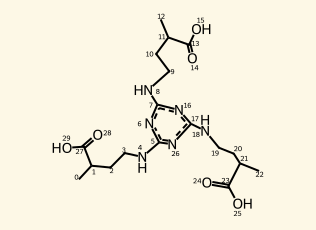 CC(CCNc1nc(NCCC(C)C(=O)O)nc(NCCC(C)C(=O)O)n1)C(=O)O